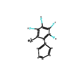 [CH2]c1c(F)c(F)c(F)c(F)c1-c1ccccc1